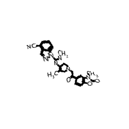 C=N/C(=N\C1=C(C)CN(CC(=O)c2ccc3oc(=O)n(C)c3c2)CC1)n1ncc2c(C#N)cccc21